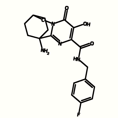 NC12CCC(CC1)Cn1c2nc(C(=O)NCc2ccc(F)cc2)c(O)c1=O